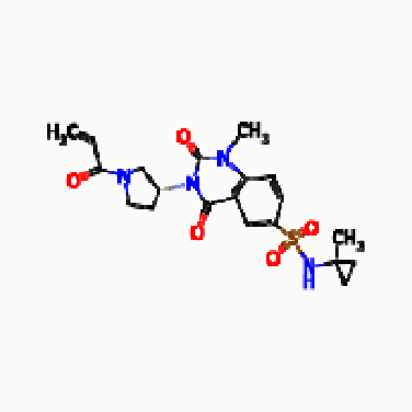 C=CC(=O)N1CC[C@@H](n2c(=O)c3cc(S(=O)(=O)NC4(C)CC4)ccc3n(C)c2=O)C1